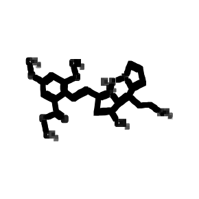 COC(=O)c1cc(OC)cc(OC)c1/C=C/C1=[N+]2[BH2-]n3cccc3C(CCN)=C2C(C)=C1